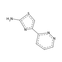 Nc1nc(-c2cccnn2)cs1